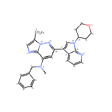 CCOC(=O)c1cnc2c(N(C)Cc3ccccc3)cc(-c3cn(C4CCOCC4)c4ncccc34)nn12